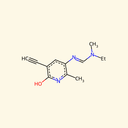 C#Cc1cc(/N=C/N(C)CC)c(C)nc1O